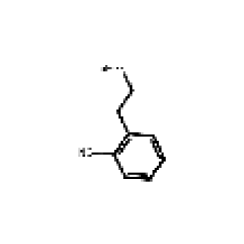 CCCCCCCCc1ccc[c]c1C#N